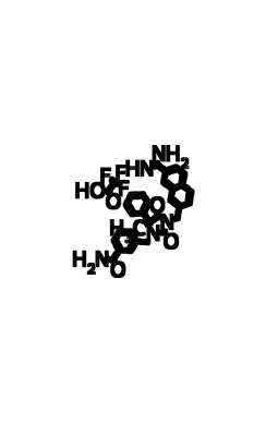 CC1(c2ccccc2)C(=O)N(Cc2ccc3ccc(C(=N)N)cc3c2)C(=O)N1Cc1cccc(C(N)=O)c1.O=C(O)C(F)(F)F